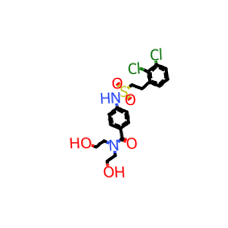 O=C(c1ccc(NS(=O)(=O)CCc2cccc(Cl)c2Cl)cc1)N(CCO)CCO